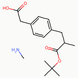 CC(Cc1ccc(CC(=O)O)cc1)C(=O)OC(C)(C)C.CN